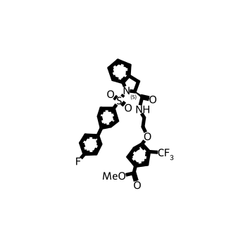 COC(=O)c1ccc(OCCNC(=O)[C@@H]2Cc3ccccc3N2S(=O)(=O)c2ccc(-c3ccc(F)cc3)cc2)c(C(F)(F)F)c1